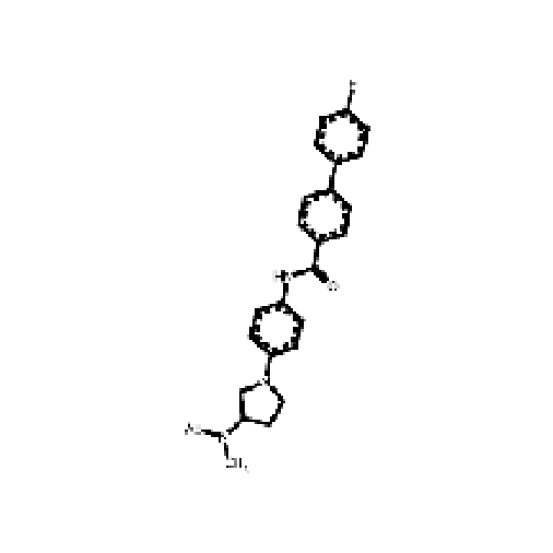 CC(=O)N(C)C1CCN(c2ccc(NC(=O)c3ccc(-c4ccc(F)cc4)cc3)cc2)C1